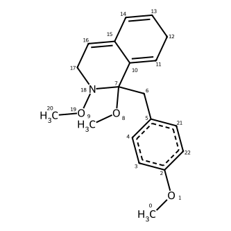 COc1ccc(CC2(OC)C3=CCC=CC3=CCN2OC)cc1